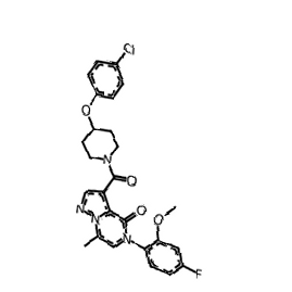 COc1cc(F)ccc1-n1cc(C)n2ncc(C(=O)N3CCC(Oc4ccc(Cl)cc4)CC3)c2c1=O